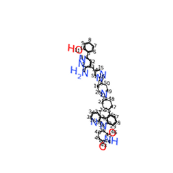 Nc1nnc(-c2ccccc2O)cc1-c1cnn(C2CCN(C3CCC(c4cccc5c4c4cccnc4n5C4CCC(=O)NC4=O)CC3)CC2)c1